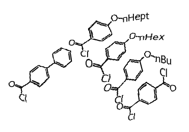 CCCCCCCOc1ccc(C(=O)Cl)cc1.CCCCCCOc1ccc(C(=O)Cl)cc1.CCCCOc1ccc(C(=O)Cl)cc1.O=C(Cl)c1ccc(-c2ccccc2)cc1.O=C(Cl)c1ccc(C(=O)Cl)cc1